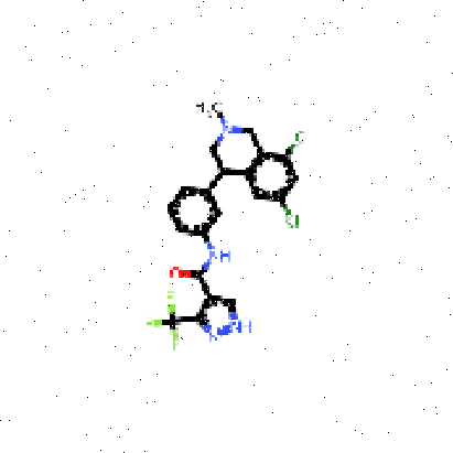 CN1Cc2c(Cl)cc(Cl)cc2C(c2cccc(NC(=O)c3c[nH]nc3C(F)(F)F)c2)C1